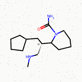 CNC[C@H](CC1CCCC1)C1CCCCN1C(N)=O